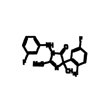 CSC1=NC(C)(c2cc(F)ccc2F)C(=O)N1Nc1cccc(F)c1